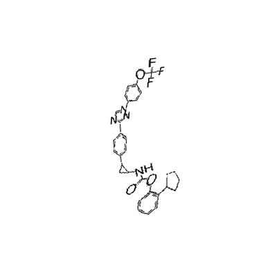 O=C(NC1CC1c1ccc(-c2ncn(-c3ccc(OC(F)(F)F)cc3)n2)cc1)Oc1ccccc1C1CCCC1